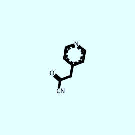 N#CC(=O)Cc1ccncc1